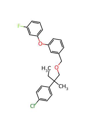 CCC(C)(COCc1cccc(Oc2cccc(F)c2)c1)c1ccc(Cl)cc1